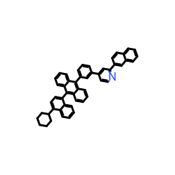 c1cc(-c2ccnc(-c3ccc4ccccc4c3)c2)cc(-c2c3ccccc3c(-c3ccc(C4CCCCC4)c4ccccc34)c3ccccc23)c1